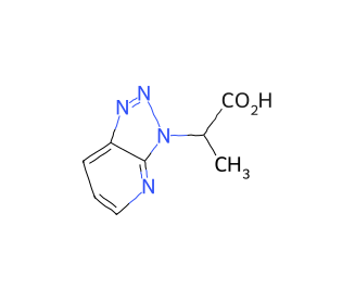 CC(C(=O)O)n1nnc2cccnc21